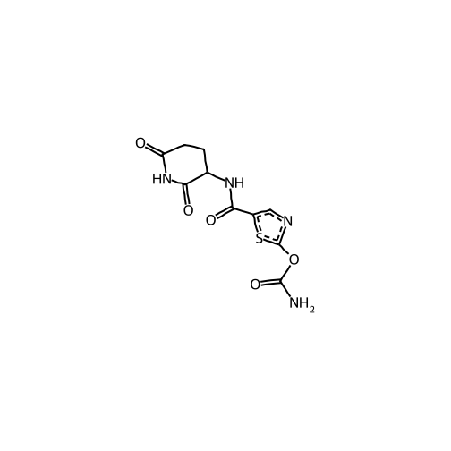 NC(=O)Oc1ncc(C(=O)NC2CCC(=O)NC2=O)s1